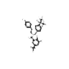 O=C(c1cc(C(F)(F)F)cc(Cl)c1F)N(CCc1ccc(Cl)cc1)Cc1ccc(C(F)(C(F)(F)F)C(F)(F)F)cc1